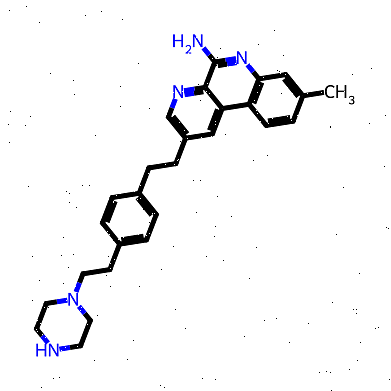 Cc1ccc2c(c1)nc(N)c1ncc(CCc3ccc(CCN4CCNCC4)cc3)cc12